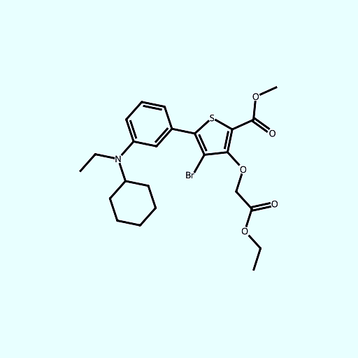 CCOC(=O)COc1c(C(=O)OC)sc(-c2cccc(N(CC)C3CCCCC3)c2)c1Br